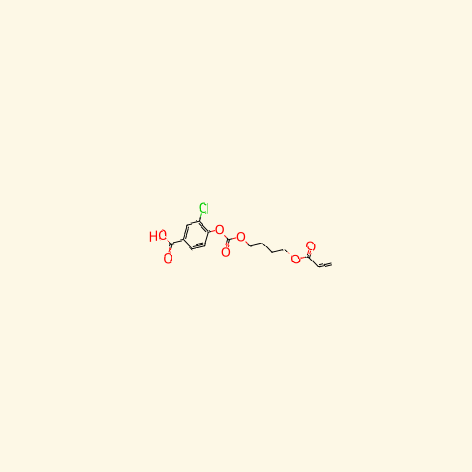 C=CC(=O)OCCCCOC(=O)Oc1ccc(C(=O)O)cc1Cl